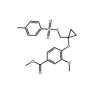 COC(=O)c1ccc(OC2(COS(=O)(=O)c3ccc(C)cc3)CC2)c(OC)c1